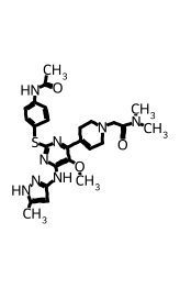 COc1c(Nc2cc(C)[nH]n2)nc(Sc2ccc(NC(C)=O)cc2)nc1C1=CCN(CC(=O)N(C)C)CC1